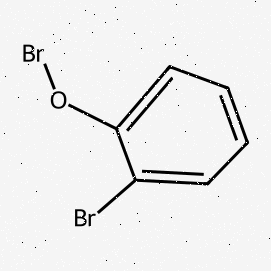 BrOc1ccccc1Br